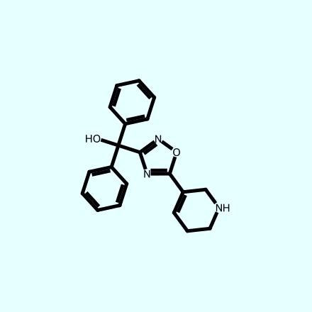 OC(c1ccccc1)(c1ccccc1)c1noc(C2=CCCNC2)n1